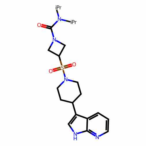 CC(C)N(C(=O)N1CC(S(=O)(=O)N2CCC(c3c[nH]c4ncccc34)CC2)C1)C(C)C